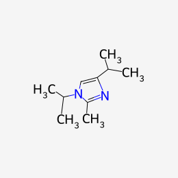 Cc1nc(C(C)C)cn1C(C)C